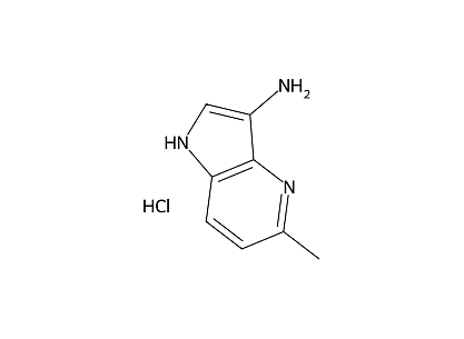 Cc1ccc2[nH]cc(N)c2n1.Cl